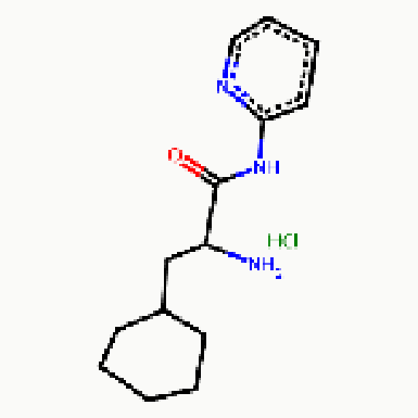 Cl.NC(CC1CCCCC1)C(=O)Nc1ccccn1